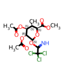 COC(=O)[C@H]1O[C@@H](OC(=N)C(Cl)(Cl)Cl)[C@H](OC(C)=O)[C@@H](OC(C)=O)[C@@H]1C